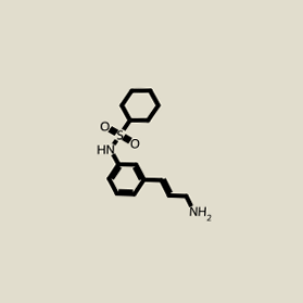 NC/C=C/c1cccc(NS(=O)(=O)C2CCCCC2)c1